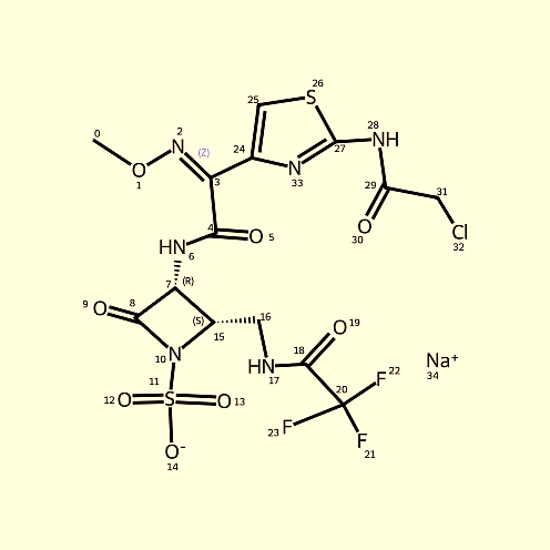 CO/N=C(\C(=O)N[C@H]1C(=O)N(S(=O)(=O)[O-])[C@H]1CNC(=O)C(F)(F)F)c1csc(NC(=O)CCl)n1.[Na+]